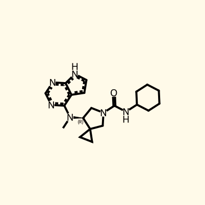 CN(c1ncnc2[nH]ccc12)[C@H]1CN(C(=O)NC2CCCCC2)CC12CC2